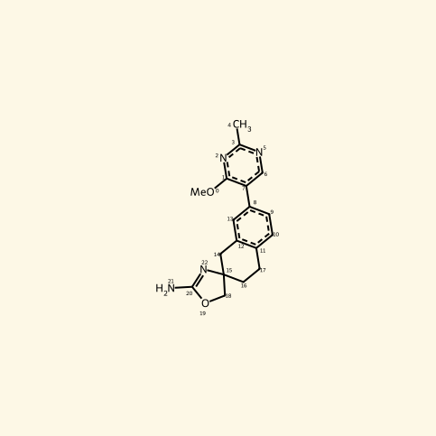 COc1nc(C)ncc1-c1ccc2c(c1)CC1(CC2)COC(N)=N1